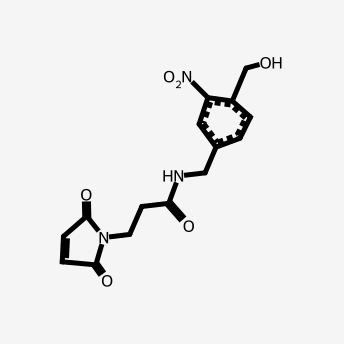 O=C(CCN1C(=O)C=CC1=O)NCc1ccc(CO)c([N+](=O)[O-])c1